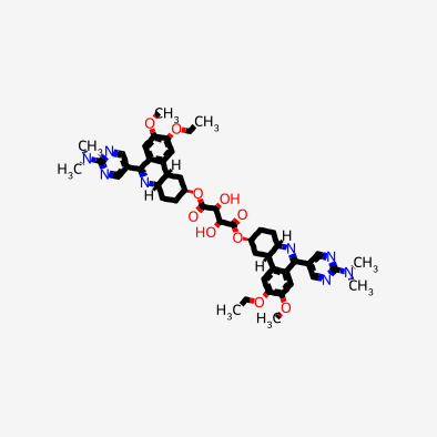 CCOc1cc2c(cc1OC)C(c1cnc(N(C)C)nc1)=N[C@H]1CC[C@H](OC(=O)C(O)C(O)C(=O)O[C@H]3CC[C@@H]4N=C(c5cnc(N(C)C)nc5)c5cc(OC)c(OCC)cc5[C@@H]4C3)C[C@@H]21